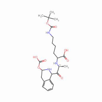 C[C@H](NC(CCCCNC(=O)OC(C)(C)C)C(=O)O)C(=O)C1NC(OC(=O)O)Cc2ccccc21